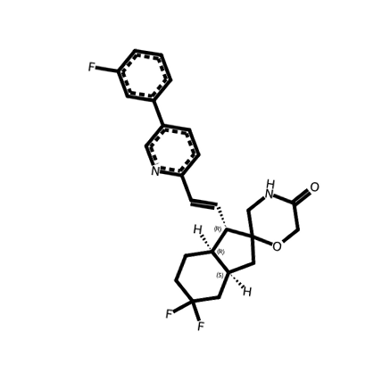 O=C1COC2(CN1)C[C@H]1CC(F)(F)CC[C@H]1[C@@H]2C=Cc1ccc(-c2cccc(F)c2)cn1